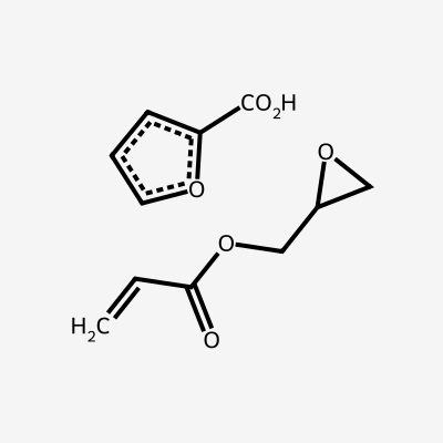 C=CC(=O)OCC1CO1.O=C(O)c1ccco1